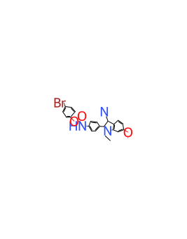 CCN1c2cc(OC)ccc2C(C#N)C1c1ccc(NC(=O)Oc2ccc(Br)cc2)cc1